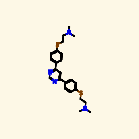 CN(C)CCSc1ccc(-c2cc(-c3ccc(SCCN(C)C)cc3)ncn2)cc1